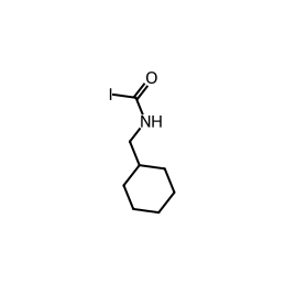 O=C(I)NCC1CCCCC1